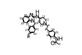 CC(=O)Nc1ccc(CCN2CCC(Nc3nc4ccccc4n3Cc3ccc(F)cc3)CC2)cc1